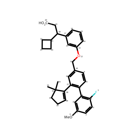 COc1ccc(F)c(-c2ccc(COc3cccc(C(CC(=O)O)C4CCC4)c3)cc2C2=CCCC2(C)C)c1